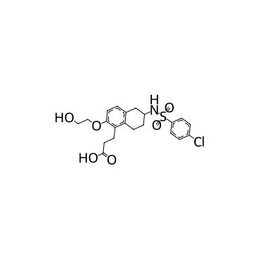 O=C(O)CCc1c(OCCO)ccc2c1CCC(NS(=O)(=O)c1ccc(Cl)cc1)C2